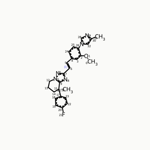 COc1cc(/C=C/c2nc3n(n2)CCC[C@]3(C)c2ccc(F)cc2)ccc1-n1cnc(C)c1